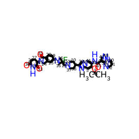 CC(C)Oc1cc2nc(C3CCN(CC4(F)CN(c5ccc6c(c5)CN(C5CCC(=O)NC5=O)C6=O)C4)CC3)cn2cc1NC(=O)c1cnn2cccnc12